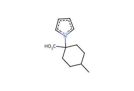 CC1CCC(C(=O)O)(n2cccc2)CC1